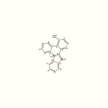 Clc1cccc2c1c1ccccc1n1c3ccccc3nc21